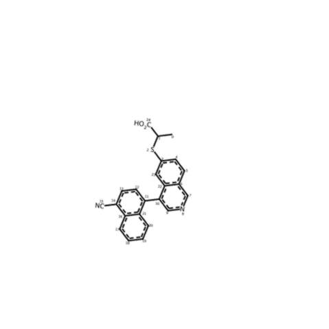 CC(Sc1ccc2cncc(-c3ccc(C#N)c4ccccc34)c2c1)C(=O)O